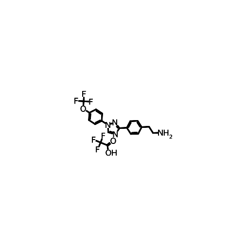 NCCc1ccc(-c2ncn(-c3ccc(OC(F)(F)F)cc3)n2)cc1.O=C(O)C(F)(F)F